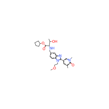 COCCn1c(-c2cc(C)c(=O)n(C)c2)nc2cc(CNC(C(=O)OC3CCCC3)C(C)O)ccc21